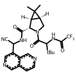 CC(C)(C)C(NC(=O)C(F)(F)F)C(=O)N1C[C@H]2[C@@H]([C@H]1C(=O)NC(C#N)c1cncc3ccncc13)C2(C)C